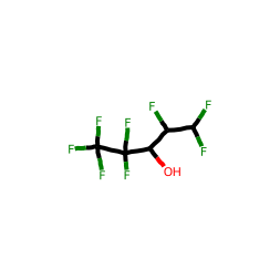 OC(C(F)C(F)F)C(F)(F)C(F)(F)F